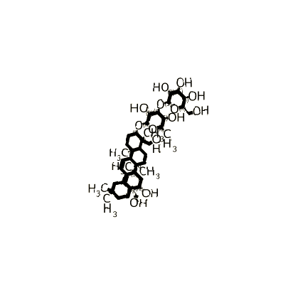 C[C@H]1O[C@@H](O[C@H]2CC[C@@]3(C)C(CC[C@]4(C)C3C=CC3=C5CC(C)(C)CC[C@]5(CO)[C@H](O)C[C@]34C)[C@]2(C)CO)[C@H](O)[C@@H](O[C@@H]2O[C@H](CO)[C@@H](O)[C@H](O)[C@H]2O)[C@H]1O